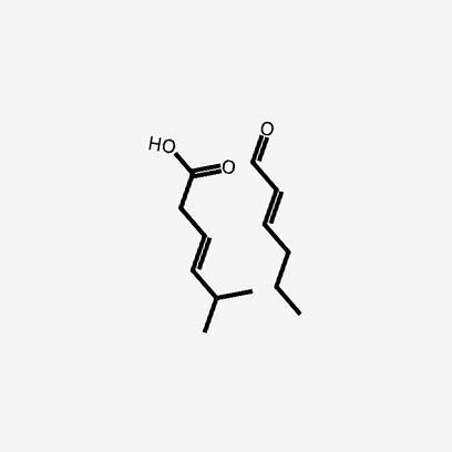 CC(C)C=CCC(=O)O.CCC/C=C/C=O